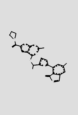 Cc1nc(NC(C)c2ccc(-c3cc(F)cc4c3C(=O)N=C4)s2)c2cc(C(=O)N3CCC3)sc2n1